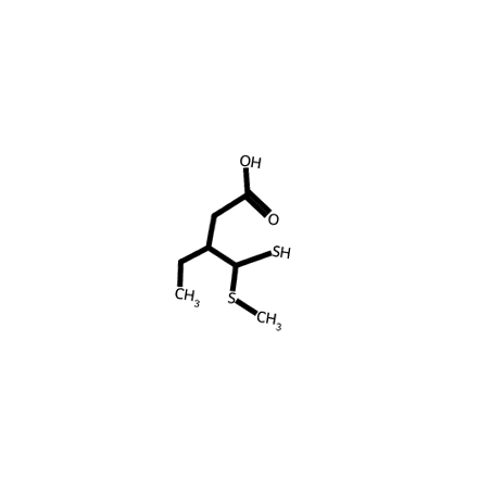 CCC(CC(=O)O)C(S)SC